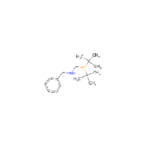 CC(C)(C)P(CNCc1ccccc1)C(C)(C)C